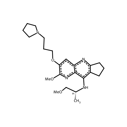 COC[C@@H](C)Nc1c2c(nc3cc(OCCCN4CCCC4)c(OC)nc13)CCC2